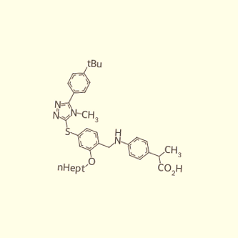 CCCCCCCOc1cc(Sc2nnc(-c3ccc(C(C)(C)C)cc3)n2C)ccc1CNc1ccc(C(C)C(=O)O)cc1